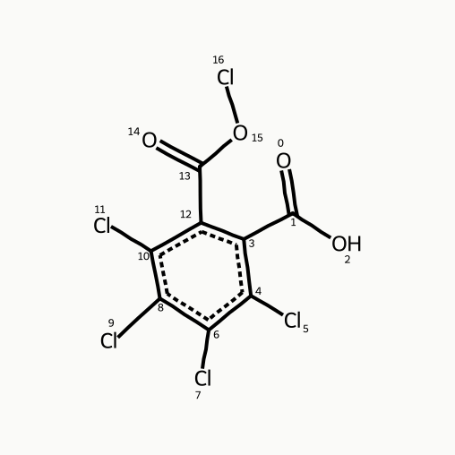 O=C(O)c1c(Cl)c(Cl)c(Cl)c(Cl)c1C(=O)OCl